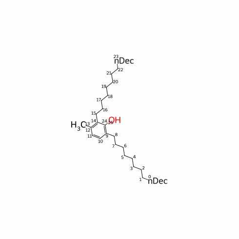 CCCCCCCCCCCCCCCCCCc1ccc(C)c(CCCCCCCCCCCCCCCCCC)c1O